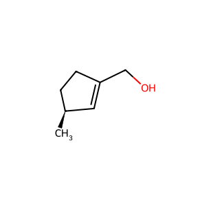 C[C@@H]1C=C(CO)CC1